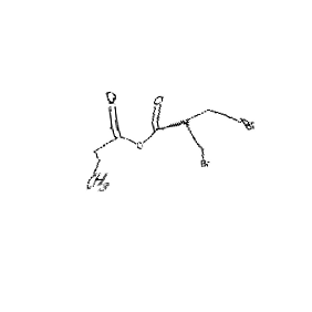 CCC(=O)OC(=O)C(Br)CBr